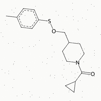 Cc1ccc(SOCC2CCN(C(=O)C3CC3)CC2)cc1